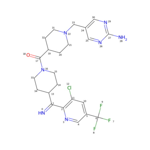 N=C(c1ncc(C(F)(F)F)cc1Cl)C1CCN(C(=O)C2CCN(Cc3cnc(N)nc3)CC2)CC1